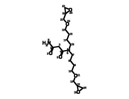 NC(=O)CC(=O)N(CCCCOCC1CO1)CCCCOCC1CO1